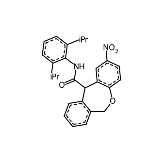 CC(C)c1cccc(C(C)C)c1NC(=O)C1c2ccccc2COc2ccc([N+](=O)[O-])cc21